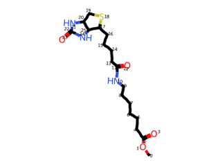 COC(=O)CCCCCCNC(=O)CCCCC1SCC2NC(=O)NC21